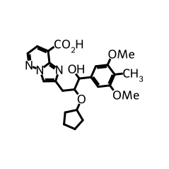 COc1cc(C(O)C(Cc2cn3nccc(C(=O)O)c3n2)OC2CCCC2)cc(OC)c1C